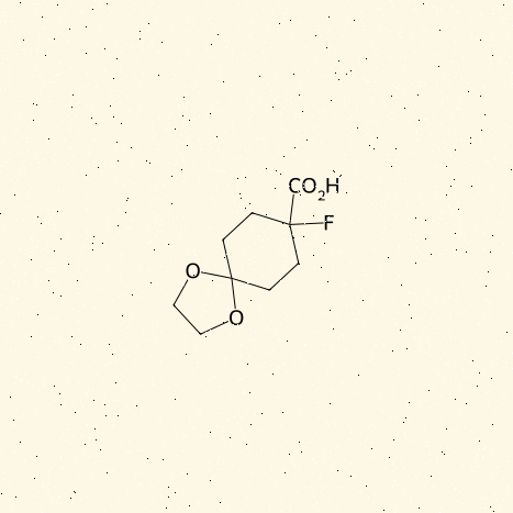 O=C(O)C1(F)CCC2(CC1)OCCO2